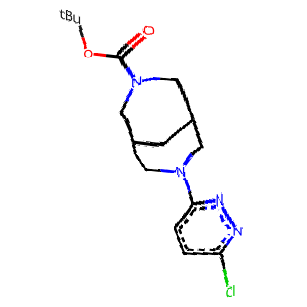 CC(C)(C)OC(=O)N1CC2CC(C1)CN(c1ccc(Cl)nn1)C2